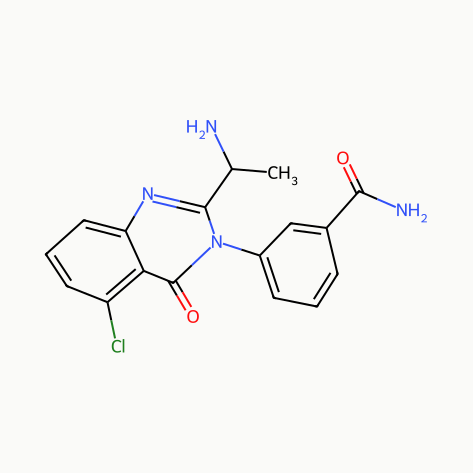 CC(N)c1nc2cccc(Cl)c2c(=O)n1-c1cccc(C(N)=O)c1